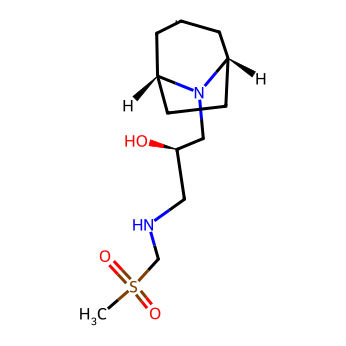 CS(=O)(=O)CNC[C@@H](O)CN1[C@@H]2C[CH]C[C@H]1CC2